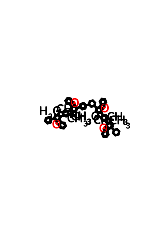 CC1(C)c2cc3c(cc2-c2c1cc(C1CCCCC1)c1c2oc2ccccc21)C(C)(C)c1cc(C2CCCC(c4ccc(-c5cc6c(c7c5oc5ccccc57)-c5cc7c(cc5C6(C)C)-c5c(cc(-c6ccccc6)c6oc8ccccc8c56)C7(C)C)cc4)C2)c2c(oc4ccccc42)c1-3